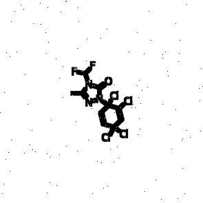 Cc1nn(C2(Cl)C=CC(Cl)(Cl)C=C2Cl)c(=O)n1C(F)F